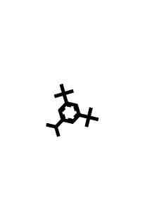 CC(C)c1cc(C(C)(C)C)cc(C(C)(C)C)c1